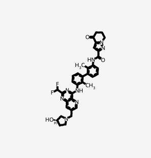 Cc1c(NC(=O)c2cc3n(n2)CCCC3=O)cccc1-c1cccc(Nc2nc(C(F)F)nc3cc(CN4CC[C@@H](O)C4)cnc23)c1C